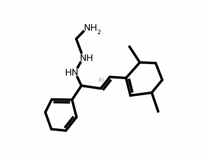 CC1C=C(/C=C/C(NNCN)C2=CCCC=C2)C(C)CC1